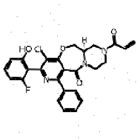 C=CC(=O)N1CCN2C(=O)c3c(-c4ccccc4)nc(-c4c(O)cccc4F)c(Cl)c3OC[C@H]2C1